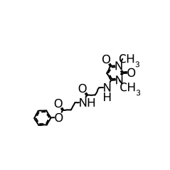 Cn1c(NCCC(=O)NCCC(=O)Oc2ccccc2)cc(=O)n(C)c1=O